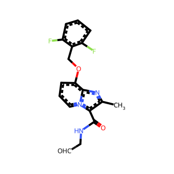 Cc1nc2c(OCc3c(F)cccc3F)cccn2c1C(=O)NCC=O